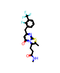 CNC(=O)CCc1c(C)sc2nc(Cc3cccc(C(F)(F)F)c3F)cc(=O)n12